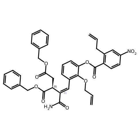 C=CCOc1c(/C=C(/C(N)=O)[C@H](CC(=O)OCc2ccccc2)C(=O)OCc2ccccc2)cccc1OC(=O)c1ccc([N+](=O)[O-])cc1CC=C